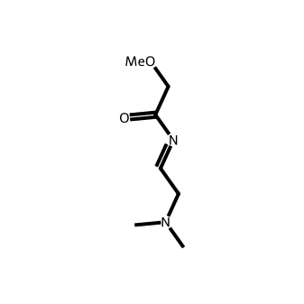 COCC(=O)N=CCN(C)C